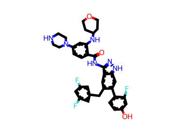 O=C(Nc1n[nH]c2cc(-c3ccc(O)cc3F)c(Cc3cc(F)cc(F)c3)cc12)c1ccc(N2CCNCC2)cc1NC1CCOCC1